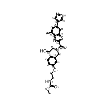 COC(=O)NCCOc1cccc(CN(CCO)C(=O)c2nc3c(F)cc(-c4cn[nH]c4)cc3s2)c1